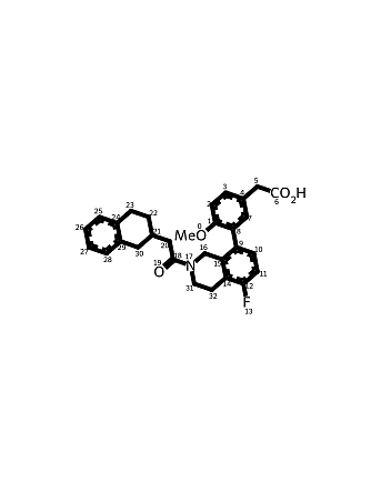 COc1ccc(CC(=O)O)cc1-c1ccc(F)c2c1CN(C(=O)CC1CCc3ccccc3C1)CC2